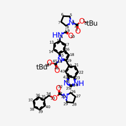 CC(C)(C)OC(=O)N1CCC[C@H]1C(=O)Nc1ccc2c(c1)cc(-c1ccc3[nH]c([C@@H]4CCCN4C(=O)OCc4ccccc4)nc3c1)n2C(=O)OC(C)(C)C